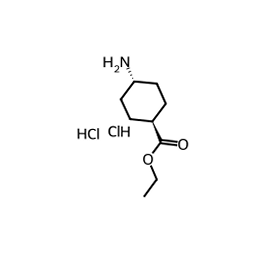 CCOC(=O)[C@H]1CC[C@H](N)CC1.Cl.Cl